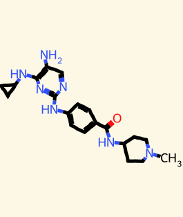 CN1CCC(NC(=O)c2ccc(Nc3ncc(N)c(NC4CC4)n3)cc2)CC1